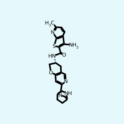 Cc1ccc2c(N)c(C(=O)N[C@H]3COc4cc(N5CC6CCC5CN6)ncc4C3)sc2n1